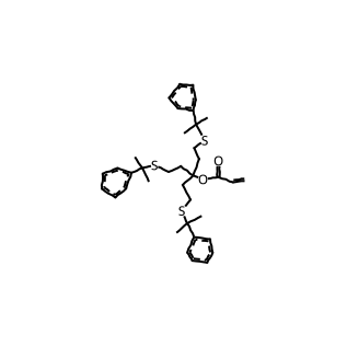 C=CC(=O)OC(CCSC(C)(C)c1ccccc1)(CCSC(C)(C)c1ccccc1)CCSC(C)(C)c1ccccc1